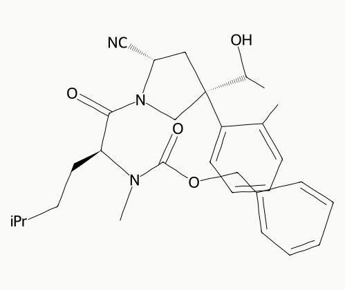 Cc1ccccc1[C@]1(C(C)O)C[C@@H](C#N)N(C(=O)[C@H](CCC(C)C)N(C)C(=O)OCc2ccccc2)C1